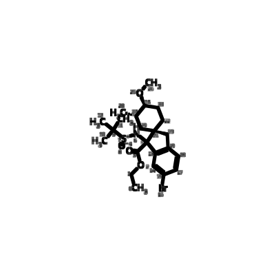 CCOC(=O)C1(N[S@@+]([O-])C(C)(C)C)c2cc(Br)ccc2C[C@@]12CC[C@H](OC)[C@@H](C)C2